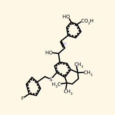 CC1(C)CCC(C)(C)c2c(SCc3ccc(F)cc3)cc(C(O)/C=C/c3ccc(C(=O)O)c(O)c3)cc21